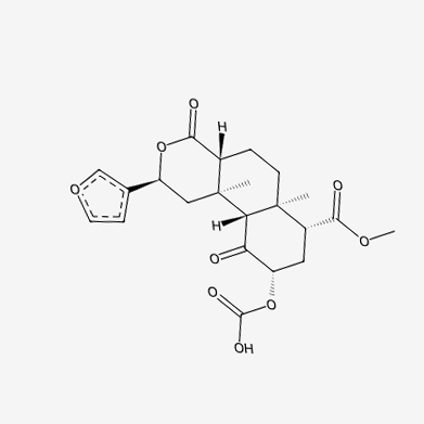 COC(=O)[C@@H]1C[C@H](OC(=O)O)C(=O)[C@H]2[C@@]1(C)CC[C@H]1C(=O)O[C@H](c3ccoc3)C[C@]21C